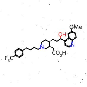 COc1ccc2nccc([C@@H](O)CC[C@@H]3CCN(CCCCc4ccc(C(F)(F)F)cc4)C[C@@H]3CC(=O)O)c2c1